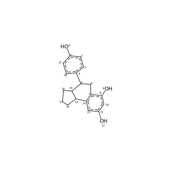 Oc1ccc(C2Cc3c(O)cc(O)cc3C3CCCC23)cc1